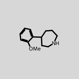 COc1ccccc1C1CCCNCC1